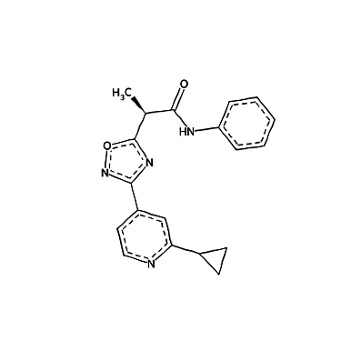 C[C@@H](C(=O)Nc1ccccc1)c1nc(-c2ccnc(C3CC3)c2)no1